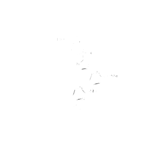 COc1cc(Nc2nccc(C(F)(F)F)n2)cc(-c2cnc(C3(O)CCC(C(=O)O)C(C)(C)C3)s2)n1